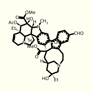 CC[C@]1(O)C[C@H]2CN(CCc3c([nH]c4ccc(C=O)cc34)[C@@](C(=O)OC)(c3cc4c(cc3OC)N(C)[C@H]3[C@@](O)(C(=O)OC)[C@H](OC(C)=O)[C@]5(CC)C=CCN6CC[C@]43[C@@H]65)C2)C1